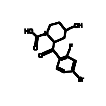 O=C(c1ccc(Br)cc1F)C1CC(O)CCN1C(=O)O